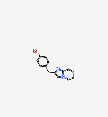 Brc1ccc(Cc2cn3ccccc3n2)cc1